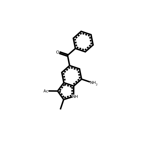 CC(=O)c1c(C)[nH]c2c(N)cc(C(=O)c3ccccc3)cc12